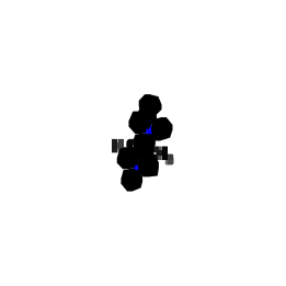 Cc1cc(N(C2=CCCC=C2)c2cccc3c2Cc2ccccc2-3)ccc1B1c2ccccc2N(c2ccccc2)c2cccc(C)c21